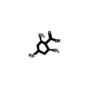 CC1C[C@@H](C)C(C(=O)O)[C@@H](C)C1